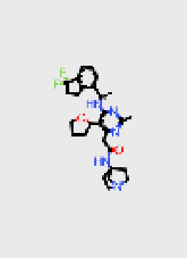 Cc1nc(CC(=O)NC23CCN(CC2)C3)c(C2CCCO2)c(N[C@H](C)c2cccc3c2CCC3(F)F)n1